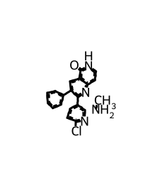 CN.O=c1[nH]ccc2nc(-c3ccc(Cl)nc3)c(-c3ccccc3)cc12